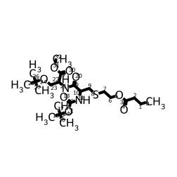 CCCC(=O)OCCSCC(NC(=O)OC(C)(C)C)C(=O)NC(COC(C)(C)C)C(=O)OC